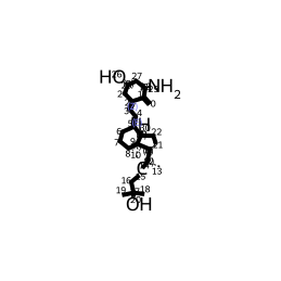 C=C1/C(=C\C=C2/CCC[C@]3(C)[C@@H]([C@H](C)CCCC(C)(C)O)CC[C@@H]23)C[C@@H](O)C[C@@H]1N